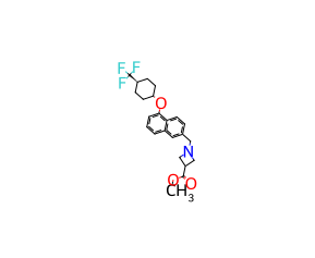 COC(=O)C1CN(Cc2ccc3c(O[C@H]4CC[C@H](C(F)(F)F)CC4)cccc3c2)C1